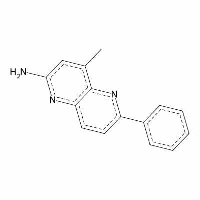 Cc1cc(N)nc2ccc(-c3ccccc3)nc12